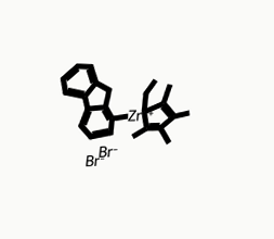 CC[C]1([Zr+2][c]2cccc3c2Cc2ccccc2-3)C(C)=C(C)C(C)=C1C.[Br-].[Br-]